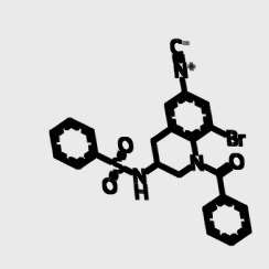 [C-]#[N+]c1cc(Br)c2c(c1)CC(NS(=O)(=O)c1ccccc1)CN2C(=O)c1ccccc1